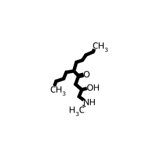 CCCCCC(CCCC)C(=O)CC(O)CNC